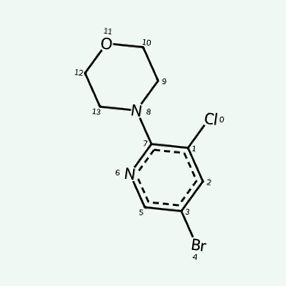 Clc1cc(Br)cnc1N1CCOCC1